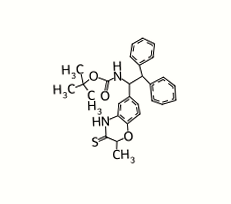 CC1Oc2ccc(C(NC(=O)OC(C)(C)C)C(c3ccccc3)c3ccccc3)cc2NC1=S